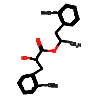 COc1ccccc1CC(O)C(=O)OC(Cc1ccccc1OC)C(=O)O